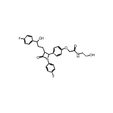 O=C(COc1ccc(C2C(CCC(O)c3ccc(F)cc3)C(=O)N2c2ccc(F)cc2)cc1)NCCO